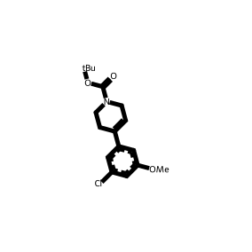 COc1cc(Cl)cc(C2=CCN(C(=O)OC(C)(C)C)CC2)c1